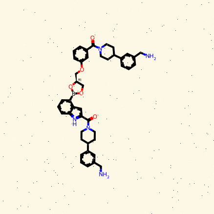 NCc1cccc(C2CCN(C(=O)c3cccc(OC[C@H]4COB(c5cccc6[nH]c(C(=O)N7CCC(c8cccc(CN)c8)CC7)cc56)O4)c3)CC2)c1